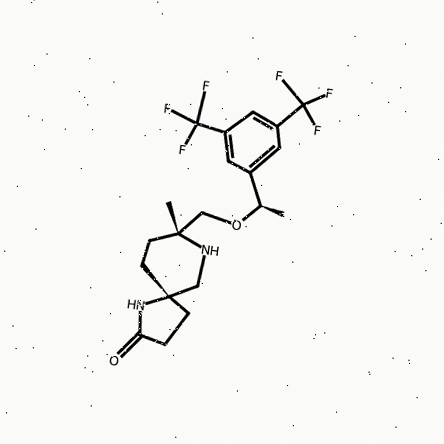 C[C@@H](OC[C@@]1(C)CC[C@]2(CCC(=O)N2)CN1)c1cc(C(F)(F)F)cc(C(F)(F)F)c1